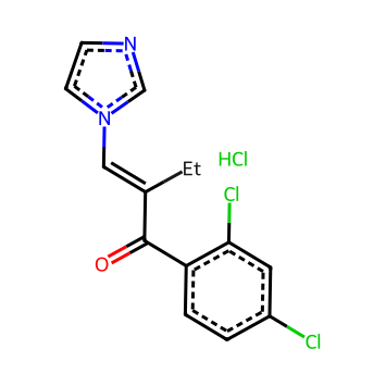 CC/C(=C\n1ccnc1)C(=O)c1ccc(Cl)cc1Cl.Cl